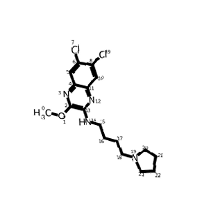 COc1nc2cc(Cl)c(Cl)cc2nc1NCCCCN1CCCC1